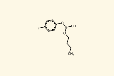 CCCCOB(O)Oc1ccc(F)cc1